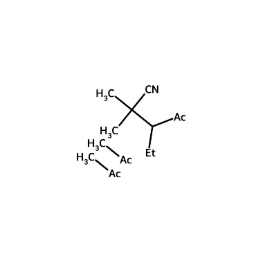 CC(C)=O.CC(C)=O.CCC(C(C)=O)C(C)(C)C#N